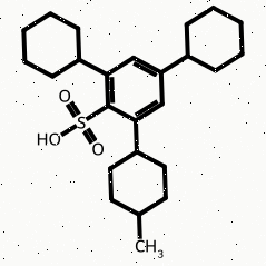 CC1CCC(c2cc(C3CCCCC3)cc(C3CCCCC3)c2S(=O)(=O)O)CC1